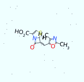 Cc1nc(C)c(/C=C2/C(=O)N3C(C(=O)O)=CS[C@@H]23)o1